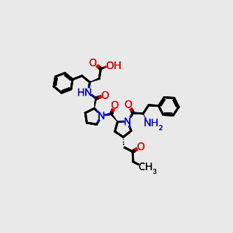 CCC(=O)C[C@@H]1C[C@@H](C(=O)N2CCC[C@H]2C(=O)N[C@H](CC(=O)O)Cc2ccccc2)N(C(=O)[C@@H](N)Cc2ccccc2)C1